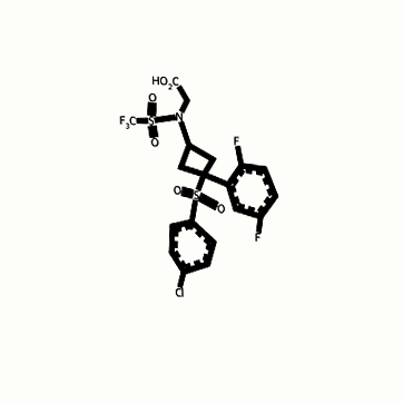 O=C(O)CN(C1CC(c2cc(F)ccc2F)(S(=O)(=O)c2ccc(Cl)cc2)C1)S(=O)(=O)C(F)(F)F